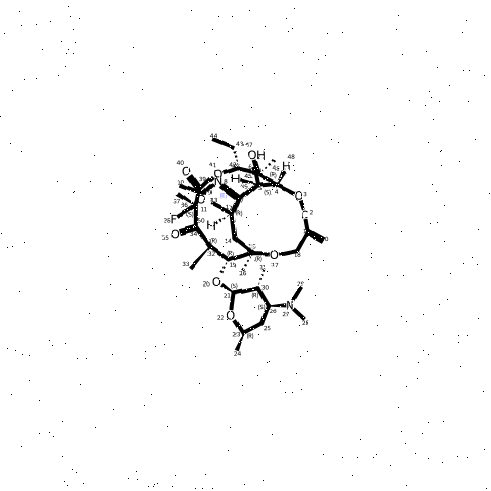 C=C1CO[C@@H]2[C@@H](C)/C(=N/C(C)=O)[C@H](C)C[C@@](C)(OC1)[C@H](O[C@@H]1O[C@H](C)C[C@H](N(C)C)[C@H]1C)[C@@H](C)C(=O)[C@](C)(F)C(=O)O[C@H](CC)[C@@]2(C)O